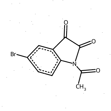 CC(=O)N1C(=O)C(=O)c2cc(Br)ccc21